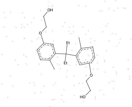 CCC(CC)(c1cc(OCCO)ccc1C)c1cc(OCCO)ccc1C